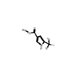 [2H]C([2H])([2H])c1cc(C(=O)OC(C)(C)C)c[nH]1